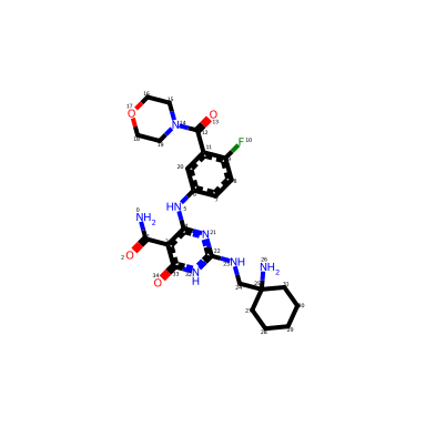 NC(=O)c1c(Nc2ccc(F)c(C(=O)N3CCOCC3)c2)nc(NCC2(N)CCCCC2)[nH]c1=O